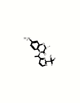 CC(c1ccnc(C(F)(F)F)n1)N1C(=O)[C@@H](C)Oc2cc(N)ccc21